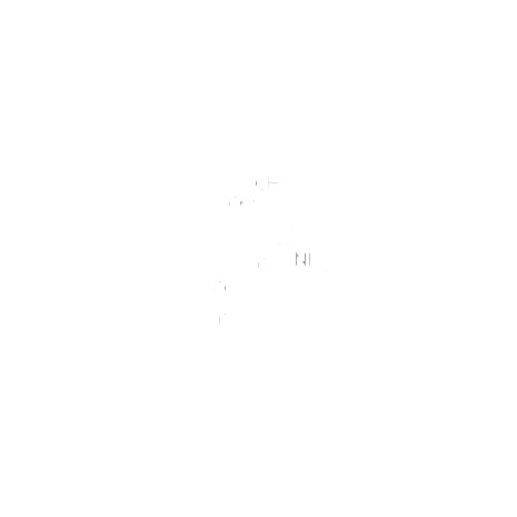 CC(=O)c1ccc(N)c(OCCOC2CCCCO2)c1